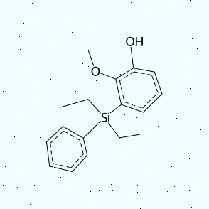 CC[Si](CC)(c1ccccc1)c1cccc(O)c1OC